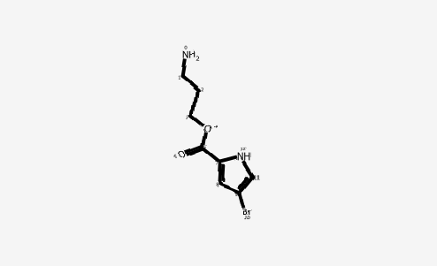 NCCCOC(=O)c1cc(Br)c[nH]1